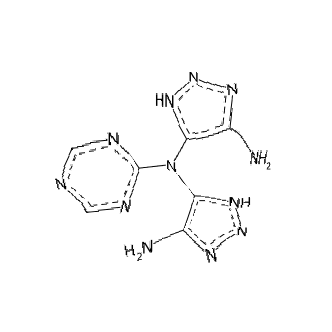 Nc1nn[nH]c1N(c1ncncn1)c1[nH]nnc1N